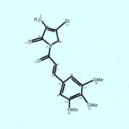 CCC1=C(C)C(=O)N(C(=O)/C=C/c2cc(OC)c(OC)c(OC)c2)C1